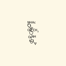 CC(=O)Nc1ccc(S(=O)(=O)N2CC[C@H](NC(=O)c3cc(C4CC4)on3)C[C@@H]2C)cc1